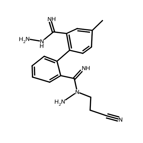 Cc1ccc(-c2ccccc2C(=N)N(N)CCC#N)c(C(=N)NN)c1